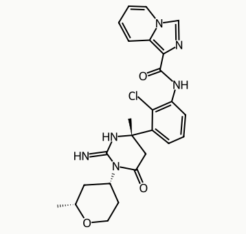 C[C@@H]1C[C@H](N2C(=N)N[C@](C)(c3cccc(NC(=O)c4ncn5ccccc45)c3Cl)CC2=O)CCO1